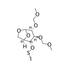 COCO[C@H]1[C@H](OSI)[C@H]2COC(O2)[C@@H]1OCOC